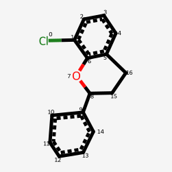 Clc1cccc2c1OC(c1ccccc1)CC2